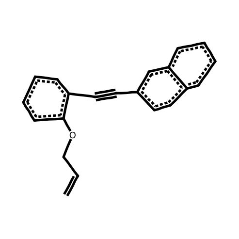 C=CCOc1ccccc1C#Cc1ccc2ccccc2c1